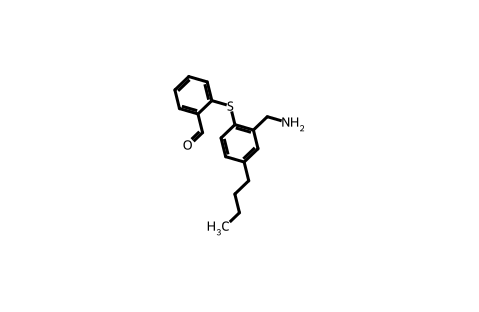 CCCCc1ccc(Sc2ccccc2C=O)c(CN)c1